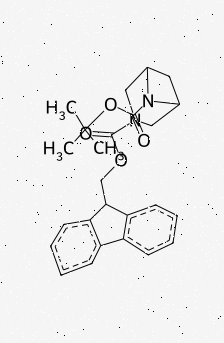 CC(C)(C)OC(=O)N1C2CC1CN(C(=O)OCC1c3ccccc3-c3ccccc31)C2